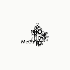 CO[C@@H](C)CNc1cc(CN2C(=O)N(c3ccc4c(c3)N(S(C)(=O)=O)CC43CCC3)C(=O)C2(C)C)ccn1